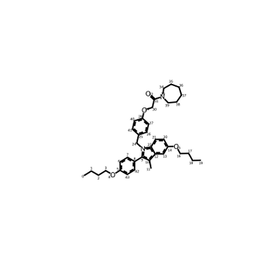 CCCCOc1ccc(-c2c(C)c3cc(OCCCC)ccc3n2Cc2ccc(OCC(=O)N3CCCCCC3)cc2)cc1